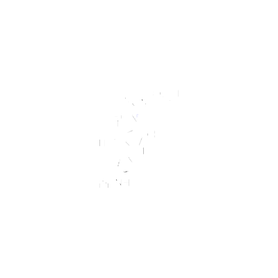 CC/C(=C\c1c(C)c(F)c(-c2ccc(NC(C)C)cc2)c(C)c1F)C(=O)NCC(=O)O